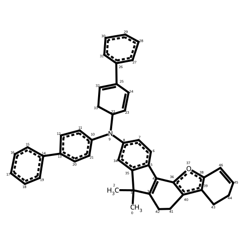 CC1(C)C2=C(c3ccc(N(c4ccc(-c5ccccc5)cc4)C4C=CC(c5ccccc5)=CC4)cc31)c1oc3c(c1CC2)CCC=C3